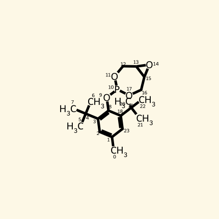 Cc1cc(C(C)(C)C)c(OP2OCC3OC3CO2)c(C(C)(C)C)c1